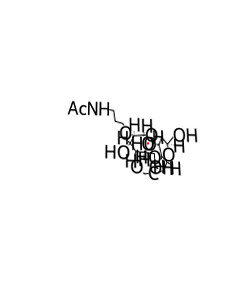 CC(=O)NCCCO[C@H]1[C@H]2OC3[C@@H](CO)O[C@H](CCCO[C@@H]([C@@H]1O)[C@@H](CO)O2)[C@H](O)[C@H]3O